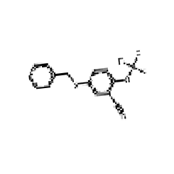 N#Cc1cc(SCc2ccccc2)ccc1OC(F)(F)F